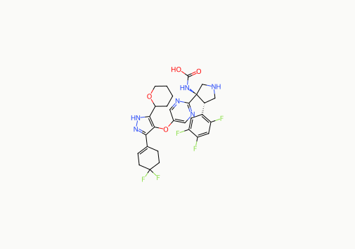 O=C(O)N[C@@]1(c2ncc(Oc3c(C4=CCC(F)(F)CC4)n[nH]c3C3CCCCO3)cn2)CNC[C@@H]1c1cc(F)c(F)cc1F